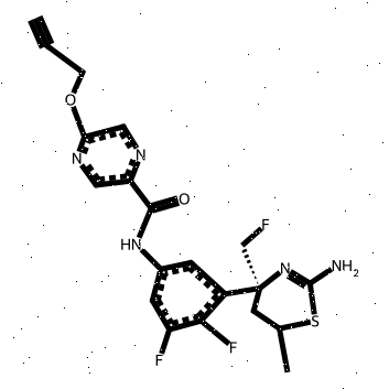 C#CCOc1cnc(C(=O)Nc2cc(F)c(F)c([C@]3(CF)CC(C)SC(N)=N3)c2)cn1